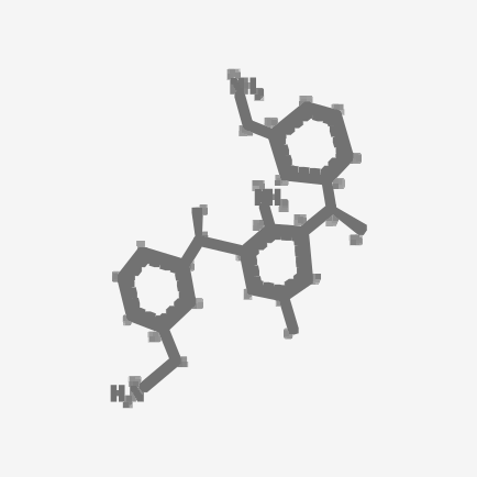 Cc1cc([C@H](C)c2cccc(CN)c2)c(N)c([C@H](C)c2cccc(CN)c2)c1